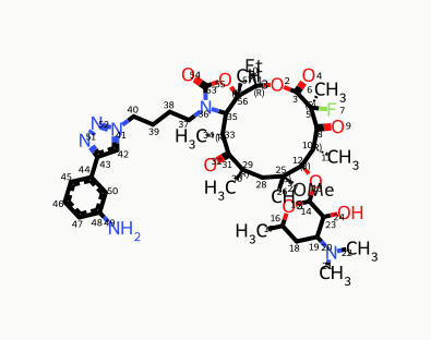 CC[C@H]1OC(=O)[C@@](C)(F)C(=O)[C@H](C)[C@@H](OC2OC(C)CC(N(C)C)C2O)[C@@](C)(OC)C[C@@H](C)C(=O)[C@H](C)C2N(CCCCn3cc(-c4cccc(N)c4)nn3)C(=O)O[C@@]21C